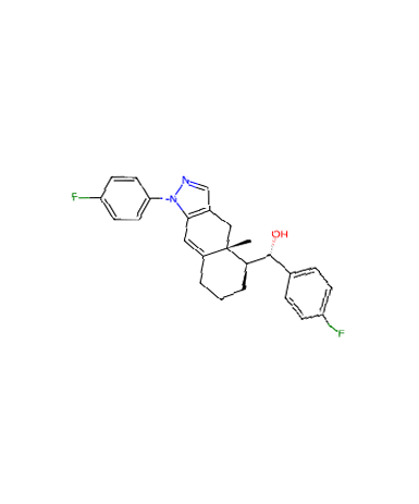 C[C@]12Cc3cnn(-c4ccc(F)cc4)c3C=C1CCC[C@@H]2[C@H](O)c1ccc(F)cc1